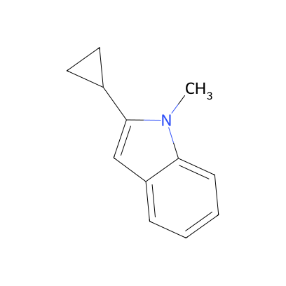 Cn1c(C2CC2)cc2ccccc21